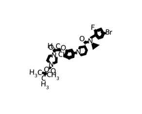 CC(C)(C)OC(=O)N1CCN(C(=O)C(C)(C)Oc2cccc(N3CCC[C@@H](C(=O)N(Cc4ccc(Br)cc4F)C4CC4)C3)c2)CC1